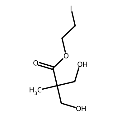 CC(CO)(CO)C(=O)OCCI